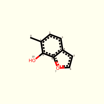 Cc1ccc2ccoc2c1O